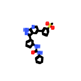 CS(=O)(=O)c1cccc(-c2cnc3[nH]nc(-c4cccc(NC(=O)Nc5ccccc5)c4)c3c2)c1